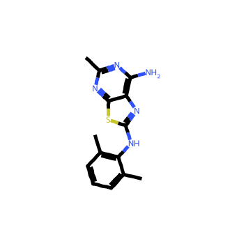 Cc1nc(N)c2nc(Nc3c(C)cccc3C)sc2n1